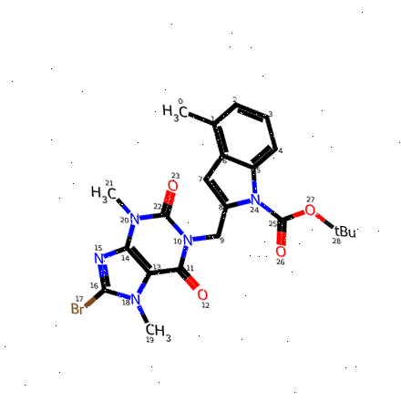 Cc1cccc2c1cc(Cn1c(=O)c3c(nc(Br)n3C)n(C)c1=O)n2C(=O)OC(C)(C)C